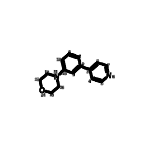 [c]1cc(-c2ccncc2)cc(N2CCOCC2)c1